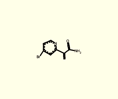 C=C(C(N)=O)c1cc(Br)ccn1